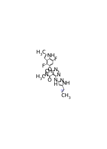 C/C=C/c1cc(Nc2ncnc(Oc3cc(F)c4[nH]c(C)cc4c3F)c2C(=O)N(C)C)n[nH]1